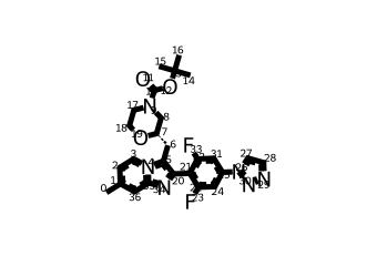 Cc1ccn2c(C[C@H]3CN(C(=O)OC(C)(C)C)CCO3)c(-c3c(F)cc(-n4ccnn4)cc3F)nc2c1